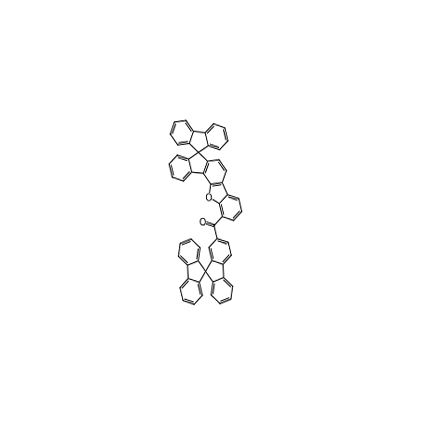 O=C(c1ccc2c(c1)C1(c3ccccc3-c3ccccc31)c1ccccc1-2)c1cccc2c1oc1c3c(ccc12)C1(c2ccccc2-c2ccccc21)c1ccccc1-3